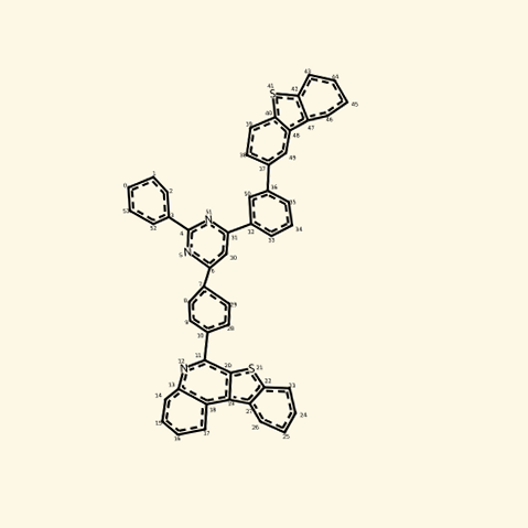 c1ccc(-c2nc(-c3ccc(-c4nc5ccccc5c5c4sc4ccccc45)cc3)cc(-c3cccc(-c4ccc5sc6ccccc6c5c4)c3)n2)cc1